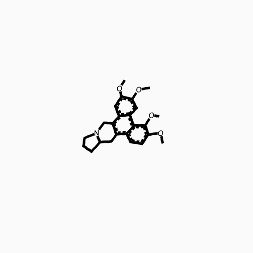 COc1cc2c3c(c4ccc(OC)c(OC)c4c2cc1OC)CC1CCCN1C3